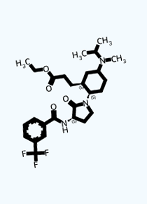 CCOC(=O)CC[C@H]1CC(N(C)C(C)C)CC[C@@H]1N1CC[C@H](NC(=O)c2cccc(C(F)(F)F)c2)C1=O